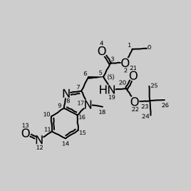 CCOC(=O)[C@H](Cc1nc2cc(N=O)ccc2n1C)NC(=O)OC(C)(C)C